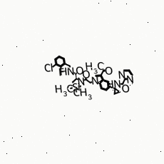 CC(=O)c1cn(CC(=O)N2C[Si](C)(C)C[C@H]2C(=O)NCc2cccc(Cl)c2F)c2ccc(C3(NC(=O)c4ncccn4)CC3)cc12